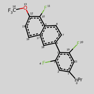 CCCc1cc(F)c(-c2ccc3c(F)c(OC(F)(F)F)ccc3c2)c(F)c1